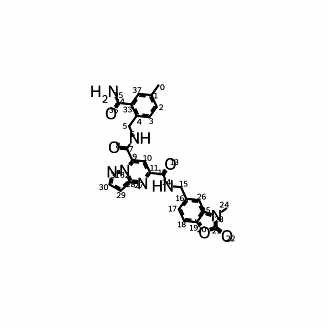 Cc1ccc(CNC(=O)c2cc(C(=O)NCc3ccc4oc(=O)n(C)c4c3)nc3ccnn23)c(C(N)=O)c1